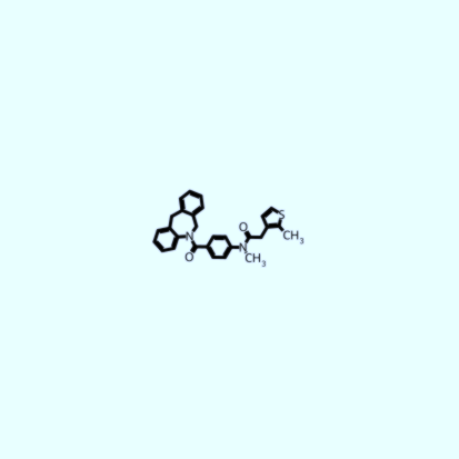 Cc1sccc1CC(=O)N(C)c1ccc(C(=O)N2Cc3ccccc3Cc3ccccc32)cc1